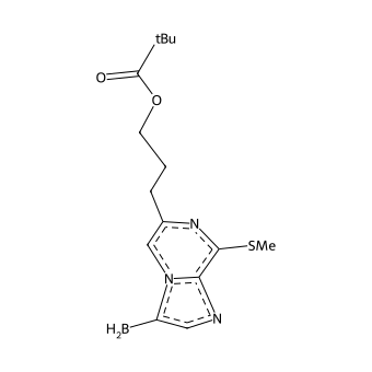 Bc1cnc2c(SC)nc(CCCOC(=O)C(C)(C)C)cn12